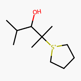 CC(C)C(O)C(C)(C)[S+]1CCCC1